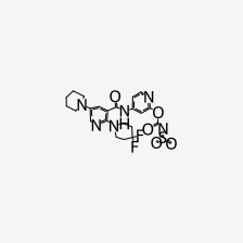 O=C(N=S(=O)=O)Oc1cc(NC(=O)c2cc(N3CCCCC3)cnc2N2CCC(F)(F)CC2)ccn1